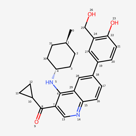 C[C@H]1CC[C@H](Nc2c(C(=O)C3CC3)cnc3ccc(-c4ccc(O)c(CO)c4)cc23)CC1